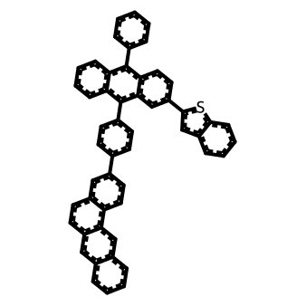 c1ccc(-c2c3ccccc3c(-c3ccc(-c4ccc5c(ccc6cc7ccccc7cc65)c4)cc3)c3cc(-c4cc5ccccc5s4)ccc23)cc1